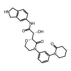 O=C(Nc1ccc2c(c1)CNC2)[C@H](O)[C@H]1OCCN(c2cccc(N3CCCCC3=O)c2)C1=O